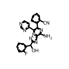 N#Cc1ccccc1-c1nc(N)c2nc(C(O)c3ccccc3F)nn2c1-c1ccncn1